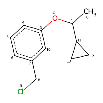 CC(Oc1cccc(CCl)c1)C1CC1